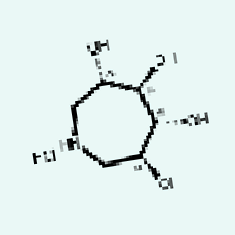 Cl.O[C@H]1[C@H](O)[C@@H](O)CNC[C@@H]1O